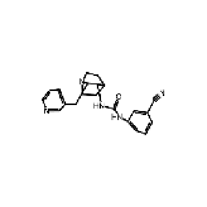 N#Cc1cccc(NC(=O)NC2C3CCN(CC3)C2Cc2cccnc2)c1